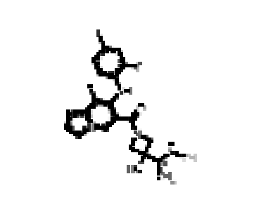 CN[C@@H](C)C1(O)CN(C(=O)c2cn3ccnc3c(F)c2Nc2ccc(I)cc2F)C1